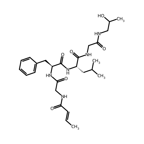 CC=CC(=O)NCC(=O)N[C@@H](Cc1ccccc1)C(=O)N[C@@H](CC(C)C)C(=O)NCC(=O)NCC(C)O